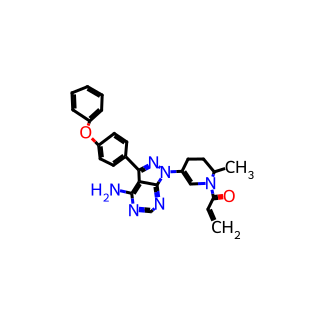 C=CC(=O)N1C=C(n2nc(-c3ccc(Oc4ccccc4)cc3)c3c(N)ncnc32)CCC1C